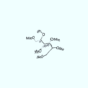 COCC(OC)[C@@H](OC)[C@H](OC)[C@H](COC)OC(C)C